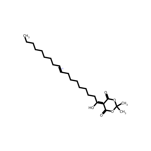 CCCCCCCC/C=C/CCCCCCCC(O)=C1C(=O)OC(C)(C)OC1=O